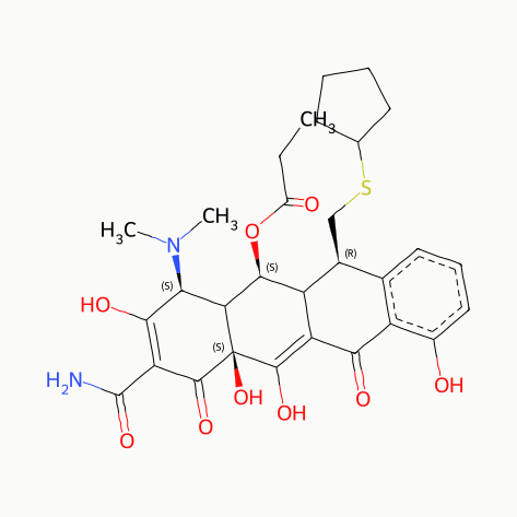 CCC(=O)O[C@H]1C2C(=C(O)[C@]3(O)C(=O)C(C(N)=O)=C(O)[C@@H](N(C)C)C13)C(=O)c1c(O)cccc1[C@@H]2CSC1CCCC1